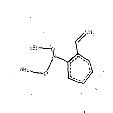 C=Cc1cccc[c]1[Al]([O]CCCC)[O]CCCC